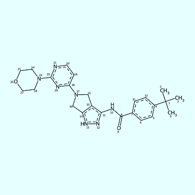 CC(C)(C)c1ccc(C(=O)Nc2n[nH]c3c2CN(c2ccnc(N4CCOCC4)n2)C3)cc1